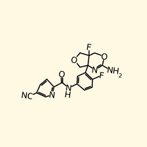 N#Cc1ccc(C(=O)Nc2ccc(F)c(C34COCC3(F)COC(N)=N4)c2)nc1